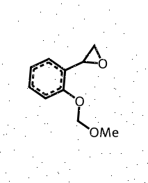 COCOc1ccccc1C1CO1